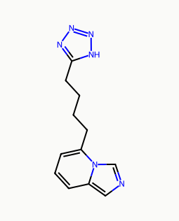 c1cc(CCCCc2nnn[nH]2)n2cncc2c1